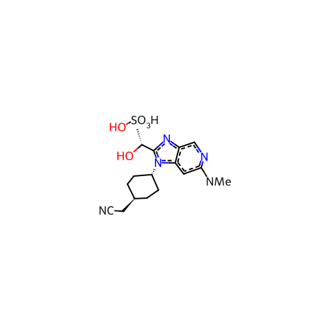 CNc1cc2c(cn1)nc([C@@H](C)O)n2[C@H]1CC[C@H](CC#N)CC1.O=S(=O)(O)O